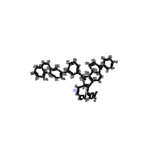 C=Cc1c(/C=C\C)n(-c2cccc(-c3ccc4c(ccc5ccccc54)c3)c2)c2c1ccc1c2ccn1-c1ccccc1